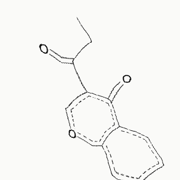 CCC(=O)c1coc2ccccc2c1=O